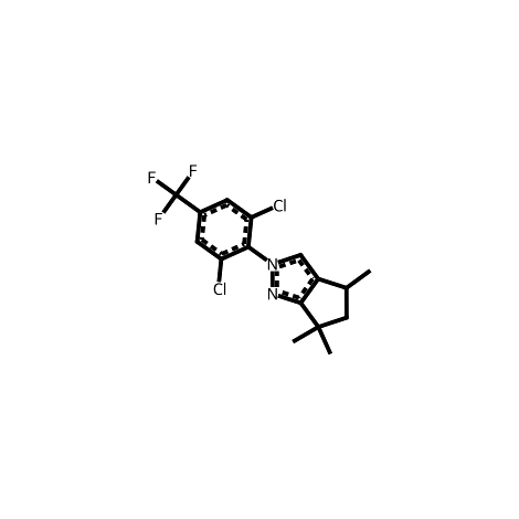 CC1CC(C)(C)c2nn(-c3c(Cl)cc(C(F)(F)F)cc3Cl)cc21